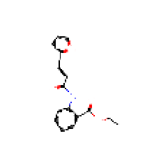 CCOC(=O)c1ccccc1NC(=O)C=Cc1ccco1